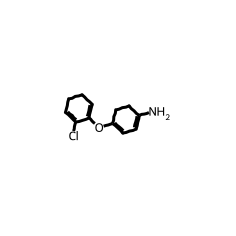 NC1=CC=C(OC2=CCCC=C2Cl)CC1